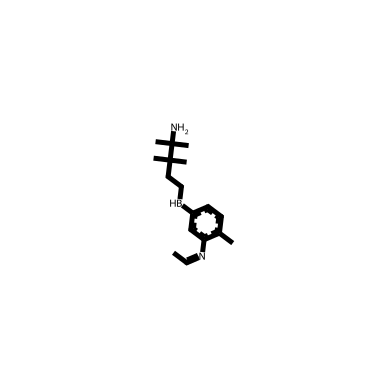 C/C=N\c1cc(BCCC(C)(C)C(C)(C)N)ccc1C